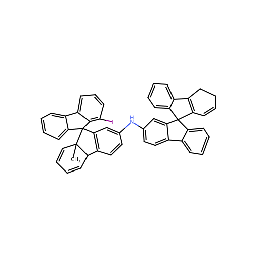 CC12C=CC=CC1c1ccc(Nc3ccc4c(c3)C3(C5=C(CCC=C5)c5ccccc53)c3ccccc3-4)cc1C21c2ccccc2-c2cccc(I)c21